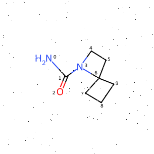 NC(=O)N1CCC12CCC2